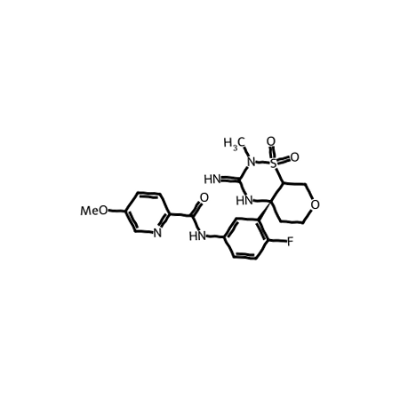 COc1ccc(C(=O)Nc2ccc(F)c([C@]34CCOCC3S(=O)(=O)N(C)C(=N)N4)c2)nc1